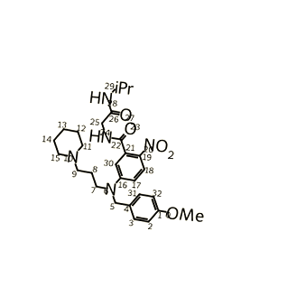 COc1ccc(CN(CCCN2CCCCC2)c2ccc([N+](=O)[O-])c(C(=O)NCC(=O)NC(C)C)c2)cc1